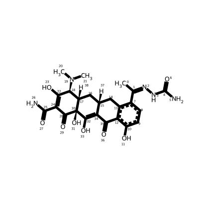 C/C(=N/NC(N)=O)c1ccc(O)c2c1C[C@H]1C[C@H]3[C@H](N(C)C)C(O)=C(C(N)=O)C(=O)[C@@]3(O)C(O)=C1C2=O